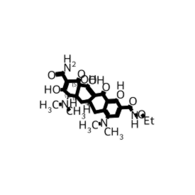 CCONC(=O)c1cc(N(C)C)c2c(c1O)C(=O)C1=C(O)[C@]3(O)C(=O)C(C(N)=O)=C(O)[C@@H](N(C)C)[C@@H]3C[C@@H]1C2